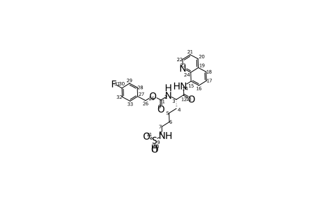 O=C(N[C@@H](CCCCN[SH](=O)=O)C(=O)Nc1cccc2cccnc12)OCc1ccc(F)cc1